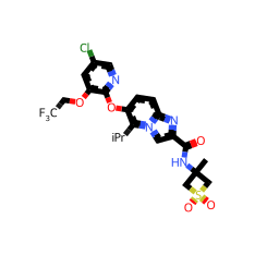 CC(C)c1c(Oc2ncc(Cl)cc2OCC(F)(F)F)ccc2nc(C(=O)NC3(C)CS(=O)(=O)C3)cn12